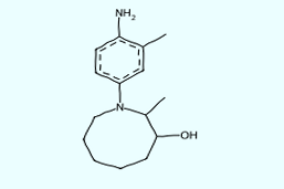 Cc1cc(N2CCCCCC(O)C2C)ccc1N